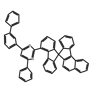 c1ccc(-c2cccc(-c3cc(-c4ccccc4)nc(-c4cccc5c4-c4ccccc4C54c5ccccc5-c5c4ccc4ccccc54)n3)c2)cc1